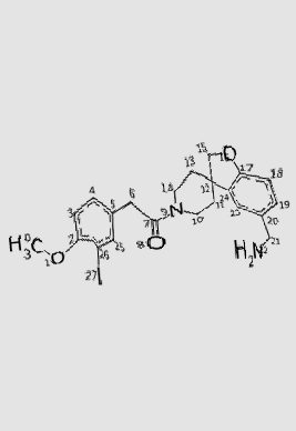 COc1ccc(CC(=O)N2CCC3(CC2)COc2ccc(CN)cc23)cc1I